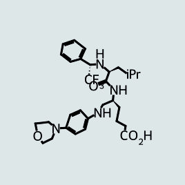 CC(C)C[C@H](N[C@@H](c1ccccc1)C(F)(F)F)C(=O)N[C@@H](CCCC(=O)O)CNc1ccc(N2CCOCC2)cc1